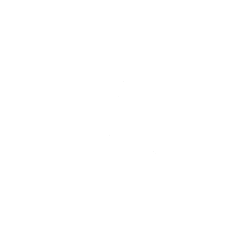 NCCCn1cc(CC2[CH]C2)c2ccccc21